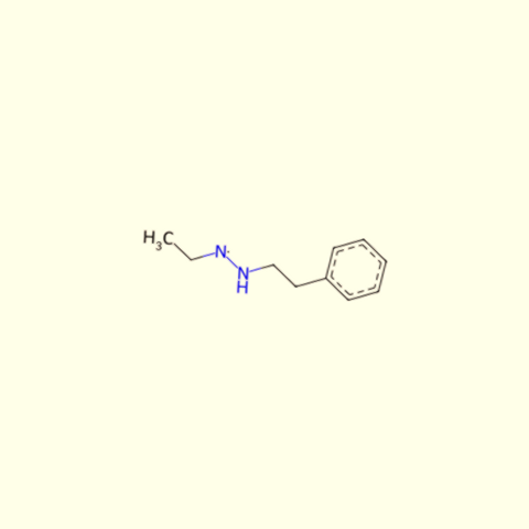 CC[N]NCCc1ccccc1